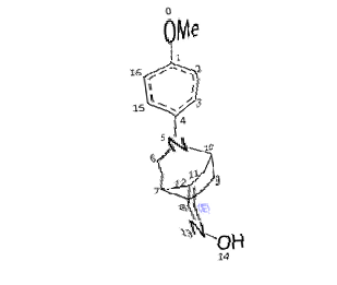 COc1ccc(N2CC3CCC2C/C3=N\O)cc1